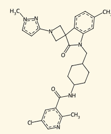 Cc1ccc2c(c1)N(CC1CCC(NC(=O)c3cc(Cl)cnc3C)CC1)C(=O)C21CN(c2ccn(C)n2)C1